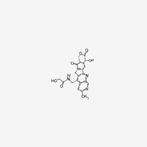 Cc1cc2c(CNC(=O)CO)c3c(nc2cn1)-c1cc2c(c(=O)n1C3)COC(=O)C2O